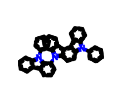 c1ccc(-n2c3ccccc3c3c4c5ccccc5n(-c5cccc6c7ccccc7n(-c7ccccc7)c56)c4ccc32)cc1